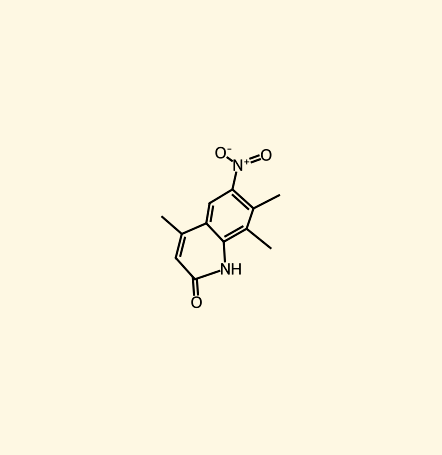 Cc1c([N+](=O)[O-])cc2c(C)cc(=O)[nH]c2c1C